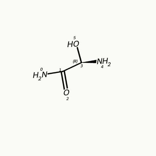 NC(=O)[C@H](N)O